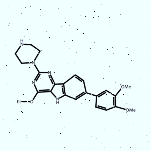 CCOc1nc(N2CCNCC2)nc2c1[nH]c1cc(-c3ccc(OC)c(OC)c3)ccc12